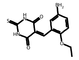 Bc1ccc(OCC)c(C=C2C(=O)NC(=S)NC2=O)c1